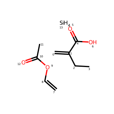 C=C(CC)C(=O)O.C=COC(C)=O.[SiH4]